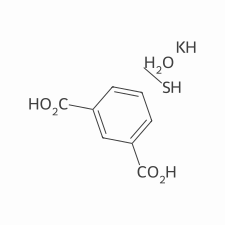 CS.O.O=C(O)c1cccc(C(=O)O)c1.[KH]